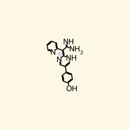 N=C(N)/C(=C1/N=CC(c2ccc(O)cc2)=CN1)c1ccccn1